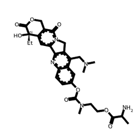 CC[C@@]1(O)C(=O)OCc2c1cc1n(c2=O)Cc2c-1nc1ccc(OC(=O)N(C)CCOC(=O)C(C)N)cc1c2CN(C)C